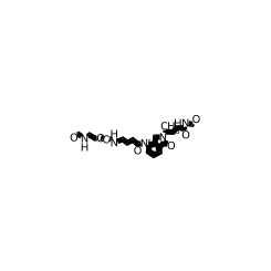 CC(CCC(=O)NC=O)N1Cc2c(NC(=O)CCCNCCOCCNC=O)cccc2C1=O